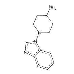 NC1CCN(n2cnc3ccccc32)CC1